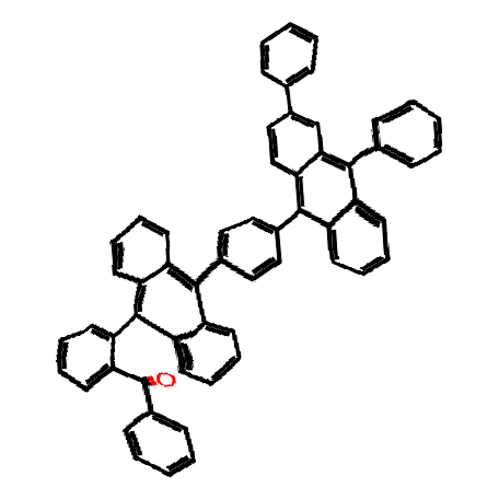 O=C(c1ccccc1)c1ccccc1-c1c2ccccc2c(-c2ccc(-c3c4ccccc4c(-c4ccccc4)c4cc(-c5ccccc5)ccc34)cc2)c2ccccc12